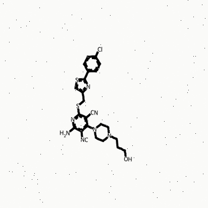 [C-]#[N+]c1c(N)nc(SCc2csc(-c3ccc(Cl)cc3)n2)c(C#N)c1N1CCN(CCCO)CC1